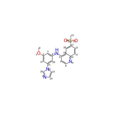 COc1cc(Nc2ccnc3ccc(S(C)(=O)=O)cc23)cc(-n2ccnc2)c1